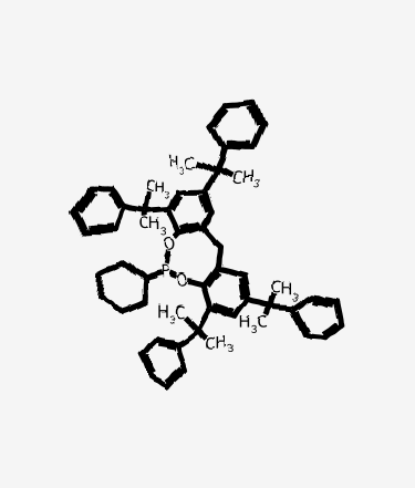 CC(C)(c1ccccc1)c1cc2c(c(C(C)(C)c3ccccc3)c1)OP(C1CCCCC1)Oc1c(cc(C(C)(C)c3ccccc3)cc1C(C)(C)c1ccccc1)C2